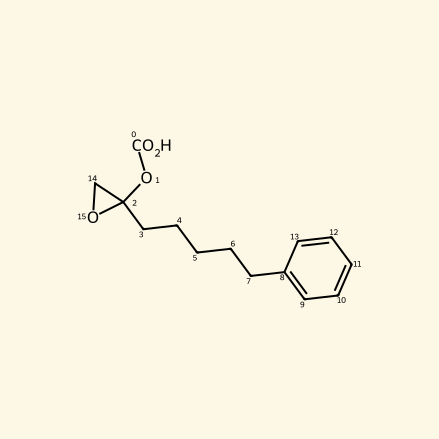 O=C(O)OC1(CCCCCc2ccccc2)CO1